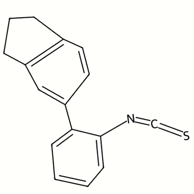 S=C=Nc1ccccc1-c1ccc2c(c1)CCC2